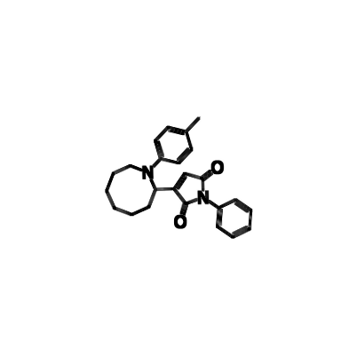 Cc1ccc(N2CCCCCCC2C2=CC(=O)N(c3ccccc3)C2=O)cc1